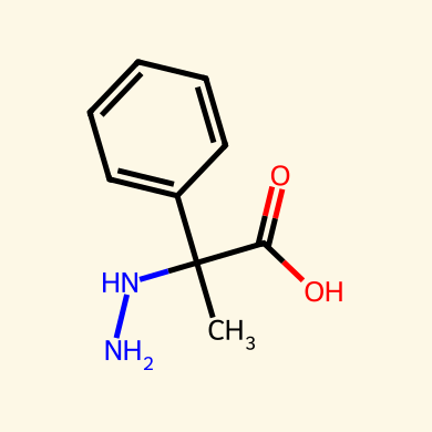 CC(NN)(C(=O)O)c1ccccc1